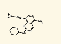 Nc1ncc(C#CC2CC2)c2nc(NC3CCCCC3)ncc12